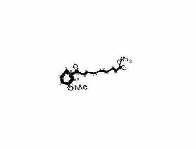 COc1cccc(C(=O)CCCCCCCC(=O)ON)c1